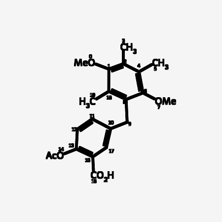 COc1c(C)c(C)c(OC)c(Cc2ccc(OC(C)=O)c(C(=O)O)c2)c1C